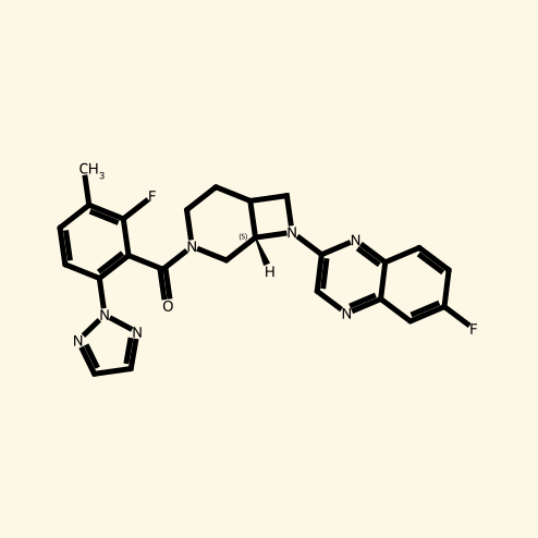 Cc1ccc(-n2nccn2)c(C(=O)N2CCC3CN(c4cnc5cc(F)ccc5n4)[C@@H]3C2)c1F